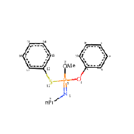 CCCN=P(OC)(Oc1ccccc1)Sc1ccccc1